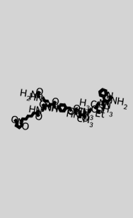 CCOCc1nc2c(N)nc3ccccc3c2n1CC(C)(C)OCCNC(=O)C(C)(C)NC(=O)OCc1ccc(NC(=O)[C@H](CCCNC(N)=O)NC(=O)CNC(=O)CCCCCN2C(=O)C=CC2=O)cc1